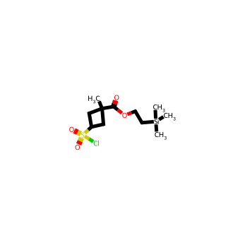 CC1(C(=O)OCC[Si](C)(C)C)CC(S(=O)(=O)Cl)C1